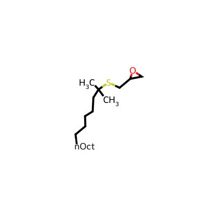 CCCCCCCCCCCCCC(C)(C)SCC1CO1